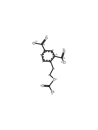 CCC(=O)OCCc1ccc(C(=O)Cl)cc1C(=O)Cl